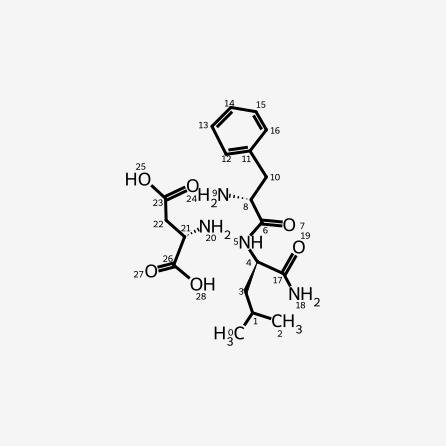 CC(C)C[C@@H](NC(=O)[C@H](N)Cc1ccccc1)C(N)=O.N[C@@H](CC(=O)O)C(=O)O